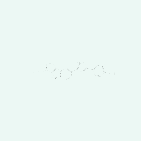 CCOC(=O)CC1CCc2c1[nH]c1ccc(-c3noc(-c4ccc(O)c(Cl)c4)n3)cc21